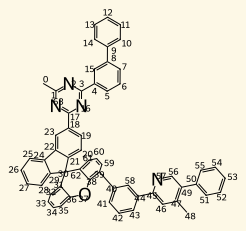 Cc1nc(-c2cccc(-c3ccccc3)c2)nc(-c2ccc3c(c2)-c2ccccc2C32c3ccccc3Oc3c(-c4cccc(-c5cc(C)c(-c6ccccc6)cn5)c4)cccc32)n1